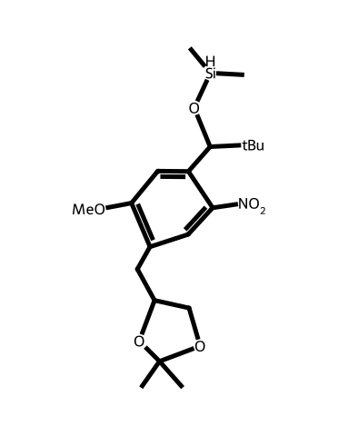 COc1cc(C(O[SiH](C)C)C(C)(C)C)c([N+](=O)[O-])cc1CC1COC(C)(C)O1